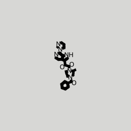 CC1CN(C(=O)c2ccccc2)CCN1C(=O)C(=O)c1c[nH]c2c(N3C=CC=NC3)nccc12